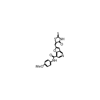 COc1ccc(NC(=O)c2cncc3cc(/C=C4/SC(=S)NC4=O)oc23)cc1